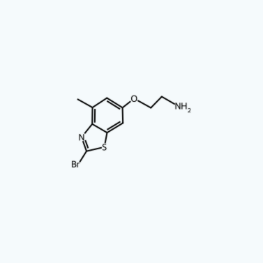 Cc1cc(OCCN)cc2sc(Br)nc12